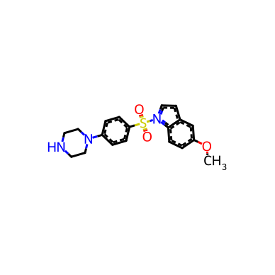 COc1ccc2c(ccn2S(=O)(=O)c2ccc(N3CCNCC3)cc2)c1